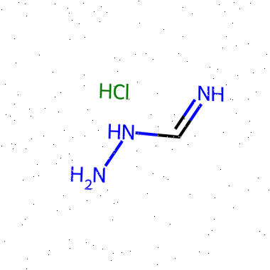 Cl.N=CNN